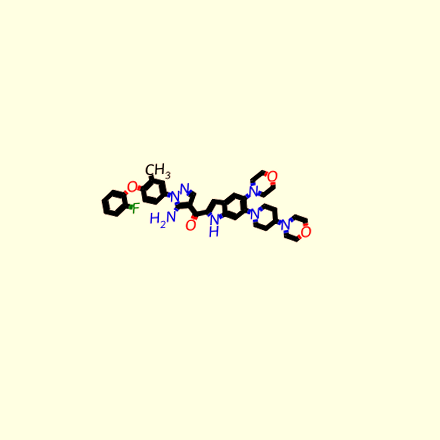 Cc1cc(-n2ncc(C(=O)c3cc4cc(N5CCOCC5)c(N5CCC(N6CCOCC6)CC5)cc4[nH]3)c2N)ccc1Oc1ccccc1F